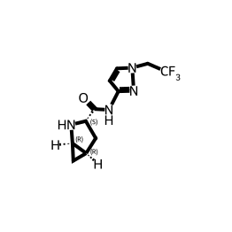 O=C(Nc1ccn(CC(F)(F)F)n1)[C@@H]1C[C@H]2C[C@H]2N1